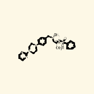 CN(Cc1ccc(N2CCN(c3ncccn3)CC2)cc1)C[C@H](NS(=O)(=O)c1ccccc1)C(=O)O